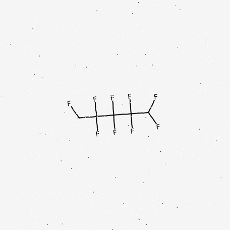 F[CH]C(F)(F)C(F)(F)C(F)(F)C(F)F